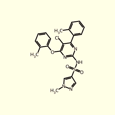 Cc1ccccc1Oc1nc(NS(=O)(=O)c2cnn(C)c2)nc(-c2ccccc2C)c1Cl